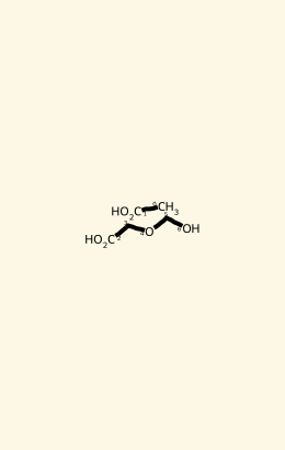 CC(=O)O.O=C(O)COCO